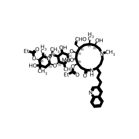 CCC(=O)O[C@@H]1C(C)O[C@@H](O[C@@H]2C(C)O[C@@H](O[C@H]3[C@@H](CC=O)C[C@@H](C)[C@@H](O)CN(C)CCC(CCCc4cnc5ccccc5c4)NC(=O)C[C@@H](OC(=O)CC)[C@@H]3OC)C(O)C2N(C)C)CC1(C)O